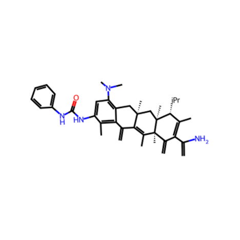 C=C(N)C1=C(C)[C@@H](C(C)C)[C@]2(C)C[C@]3(C)Cc4c(N(C)C)cc(NC(=O)Nc5ccccc5)c(C)c4C(=C)C3=C(C)[C@]2(C)C1=C